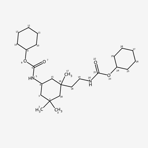 CC1(C)CC(NC(=O)OC2CCCCC2)CC(C)(CCNC(=O)OC2CCCCC2)C1